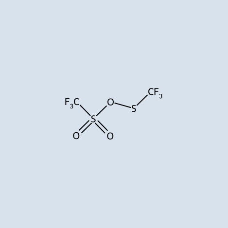 O=S(=O)(OSC(F)(F)F)C(F)(F)F